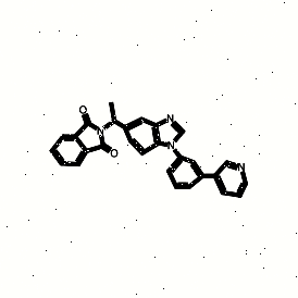 CC(c1ccc2c(c1)ncn2-c1cccc(-c2cccnc2)c1)N1C(=O)c2ccccc2C1=O